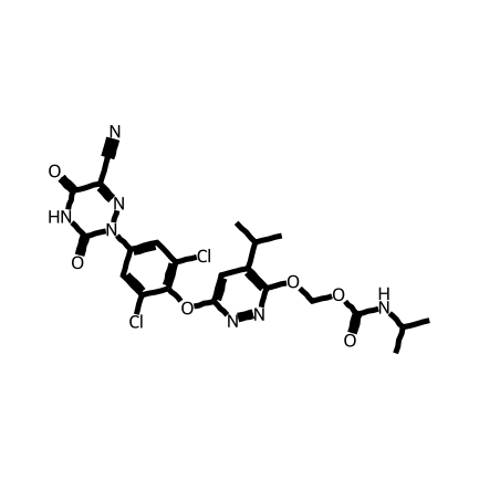 CC(C)NC(=O)OCOc1nnc(Oc2c(Cl)cc(-n3nc(C#N)c(=O)[nH]c3=O)cc2Cl)cc1C(C)C